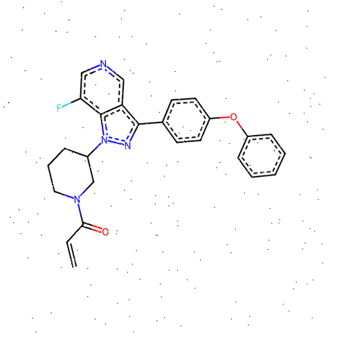 C=CC(=O)N1CCCC(n2nc(-c3ccc(Oc4ccccc4)cc3)c3cncc(F)c32)C1